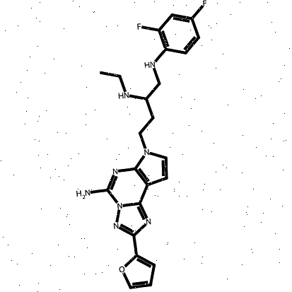 CCNC(CCn1ccc2c1nc(N)n1nc(-c3ccco3)nc21)CNc1ccc(F)cc1F